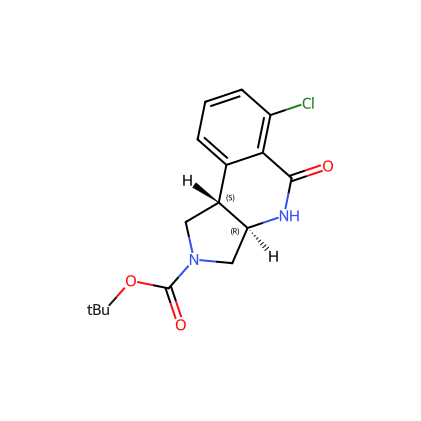 CC(C)(C)OC(=O)N1C[C@@H]2NC(=O)c3c(Cl)cccc3[C@H]2C1